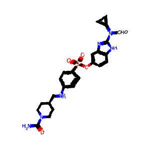 NC(=O)N1CCC(CNc2ccc(S(=O)(=O)Oc3ccc4[nH]c(N(C=O)C5CC5)nc4c3)cc2)CC1